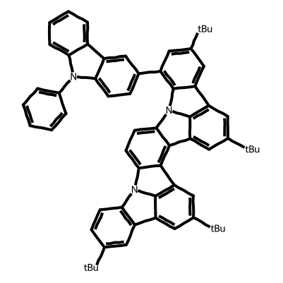 CC(C)(C)c1ccc2c(c1)c1cc(C(C)(C)C)cc3c4c5c6cc(C(C)(C)C)cc7c8cc(C(C)(C)C)cc(-c9ccc%10c(c9)c9ccccc9n%10-c9ccccc9)c8n(c5ccc4n2c13)c76